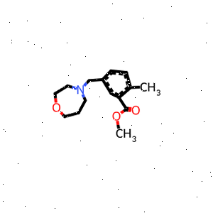 COC(=O)c1cc(CN2CCCOCC2)ccc1C